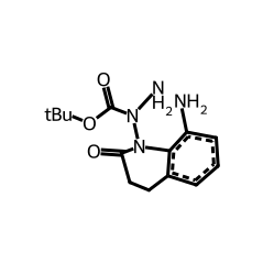 CC(C)(C)OC(=O)N(N)N1C(=O)CCc2cccc(N)c21